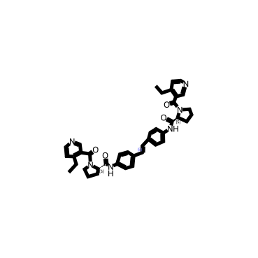 CCc1ccncc1C(=O)N1CCC[C@H]1C(=O)Nc1ccc(/C=C/c2ccc(NC(=O)[C@@H]3CCCN3C(=O)c3cnccc3CC)cc2)cc1